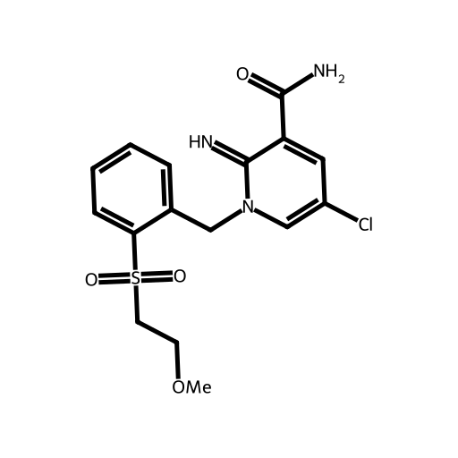 COCCS(=O)(=O)c1ccccc1Cn1cc(Cl)cc(C(N)=O)c1=N